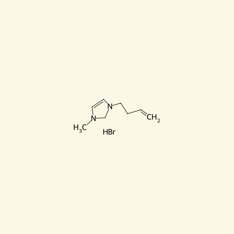 Br.C=CCCN1C=CN(C)C1